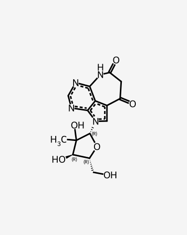 CC1(O)[C@H](O)[C@@H](CO)O[C@H]1n1cc2c3c(ncnc31)NC(=O)CC2=O